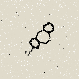 FC(F)(F)c1ccc2c(c1)CSc1ccccc1C2